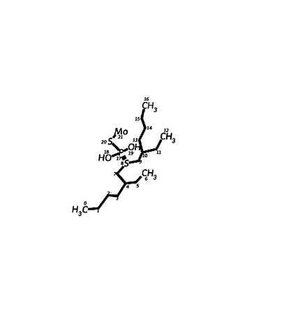 CCCCC(CC)CS(CC(CC)CCCC)=P(O)(O)[S][Mo]